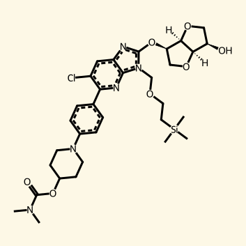 CN(C)C(=O)OC1CCN(c2ccc(-c3nc4c(cc3Cl)nc(O[C@@H]3CO[C@H]5[C@@H]3OC[C@H]5O)n4COCC[Si](C)(C)C)cc2)CC1